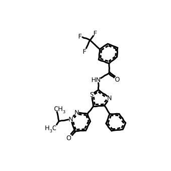 CC(C)n1nc(-c2sc(NC(=O)c3cccc(C(F)(F)F)c3)nc2-c2ccccc2)ccc1=O